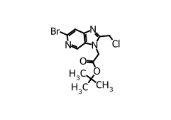 CC(C)(C)OC(=O)Cn1c(CCl)nc2cc(Br)ncc21